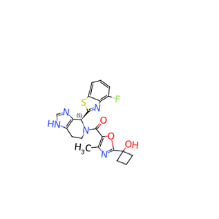 Cc1nc(C2(O)CCC2)oc1C(=O)N1CCc2[nH]cnc2[C@H]1c1nc2c(F)cccc2s1